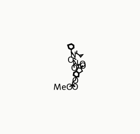 COC(=O)COc1ccc2c(c1)CC(=O)C21OCN(CC(=O)N(Cc2ccccc2)C(C)C2CC2)C1=O